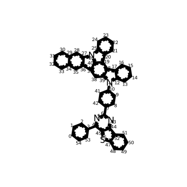 c1ccc(-c2nc(-c3ccc(-n4c5ccccc5c5c6c7ccccc7n7c8cc9ccccc9cc8c(cc54)c67)cc3)nc3c2sc2ccccc23)cc1